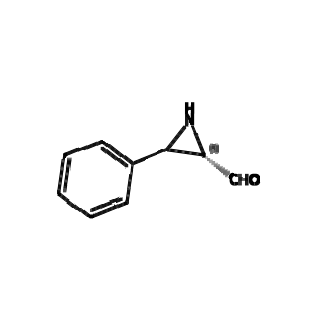 O=C[C@H]1NC1c1ccccc1